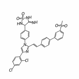 CS(=O)(=O)c1cccc(-c2ccc(C=Cc3nc(-c4ccc(Cl)cc4Cl)cn3-c3ccc(C4NS(=O)(=O)NC4=N)cc3)cc2)c1